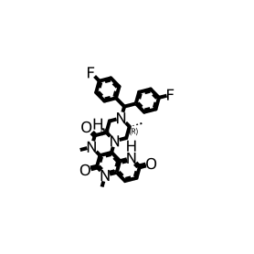 C[C@@H]1CN2c3c(c(=O)n(C)c4ccc(=O)[nH]c34)N(C)C(=O)[C@H]2CN1C(c1ccc(F)cc1)c1ccc(F)cc1